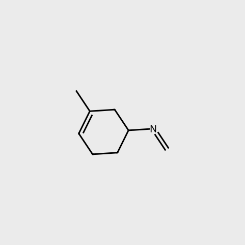 C=NC1CCC=C(C)C1